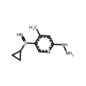 Cc1cc(NN)ncc1S(=N)C1CC1